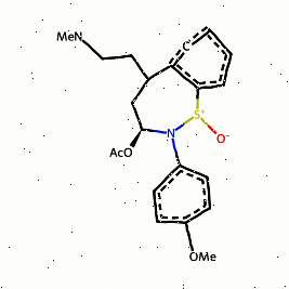 CNCCC1C[C@H](OC(C)=O)N(c2ccc(OC)cc2)[S+]([O-])c2ccccc21